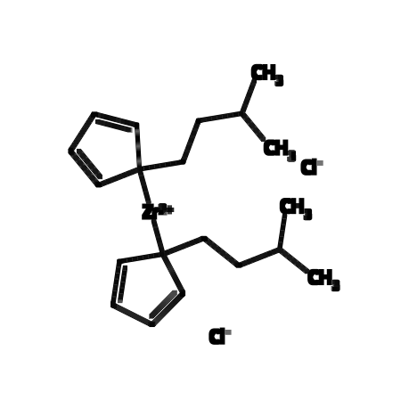 CC(C)CC[C]1([Zr+2][C]2(CCC(C)C)C=CC=C2)C=CC=C1.[Cl-].[Cl-]